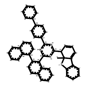 CC12Sc3ccccc3C1=CC=CC2c1nc(-c2ccc(-c3ccccc3)cc2)nc(-c2c(-c3cccc4ccccc34)ccc3ccccc23)n1